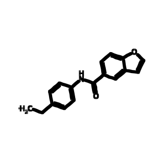 [CH2]Cc1ccc(NC(=O)c2ccc3occc3c2)cc1